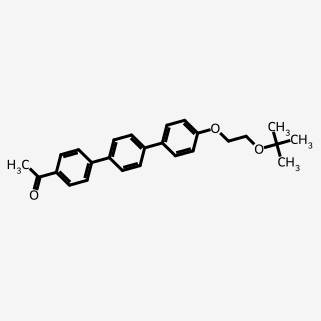 CC(=O)c1ccc(-c2ccc(-c3ccc(OCCOC(C)(C)C)cc3)cc2)cc1